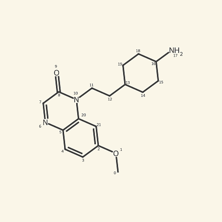 COc1ccc2ncc(=O)n(CCC3CCC(N)CC3)c2c1